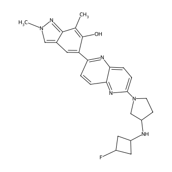 Cc1c(O)c(-c2ccc3nc(N4CCC(NC5CC(F)C5)C4)ccc3n2)cc2cn(C)nc12